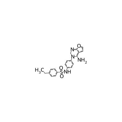 CCc1ccc(S(=O)(=O)Nc2ccc(N3CN=c4occc4=C3N)cc2)cc1